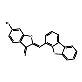 O=C1/C(=C/c2cccc3c2sc2ccccc23)Oc2cc(O)ccc21